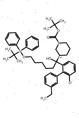 CCc1cccc(-c2c(Cl)cccc2C(O)(CCCCCO[Si](c2ccccc2)(c2ccccc2)C(C)(C)C)[C@@H]2CCCN(C(=O)OC(C)(C)C)C2)c1